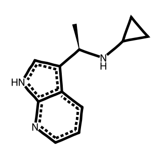 C[C@@H](NC1CC1)c1c[nH]c2ncccc12